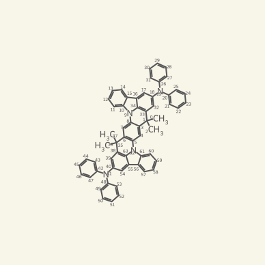 CC1(C)c2cc3c(cc2-n2c4ccccc4c4cc(N(c5ccccc5)c5ccccc5)cc1c42)C(C)(C)c1cc(N(c2ccccc2)c2ccccc2)cc2c4ccccc4n-3c12